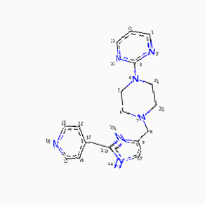 c1cnc(N2CCN(Cc3c[nH]c(-c4ccncc4)n3)CC2)nc1